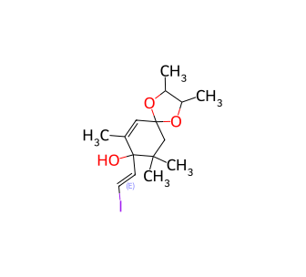 CC1=CC2(CC(C)(C)C1(O)/C=C/I)OC(C)C(C)O2